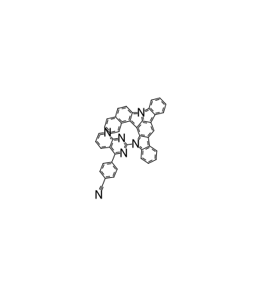 N#Cc1ccc(-c2nc(-n3c4ccccc4c4cc5c6ccccc6n6c7ccc8ccccc8c7c(c43)c56)nc3ncccc23)cc1